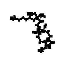 CCCCCCC(C)(CC)OC[C@@H]1[C@@H]2CCc3c(nnn3C)CC[C@@H]21